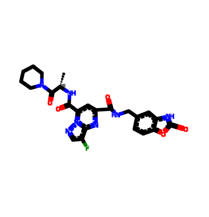 C[C@H](NC(=O)c1cc(C(=O)NCc2ccc3oc(=O)[nH]c3c2)nc2c(F)cnn12)C(=O)N1CCCCC1